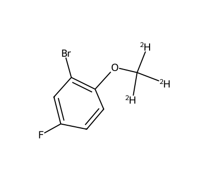 [2H]C([2H])([2H])Oc1ccc(F)cc1Br